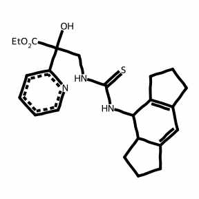 CCOC(=O)C(O)(CNC(=S)NC1C2=C(C=C3CCCC31)CCC2)c1ccccn1